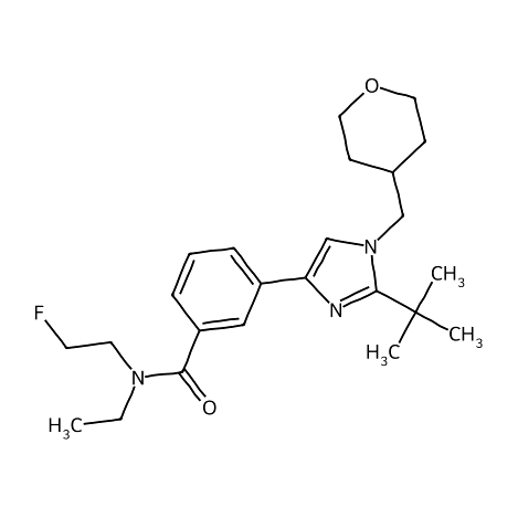 CCN(CCF)C(=O)c1cccc(-c2cn(CC3CCOCC3)c(C(C)(C)C)n2)c1